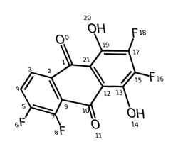 O=C1c2ccc(F)c(F)c2C(=O)c2c(O)c(F)c(F)c(O)c21